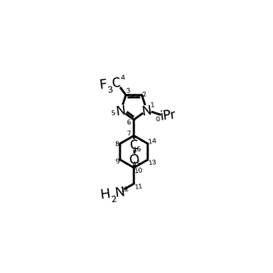 CC(C)n1cc(C(F)(F)F)nc1C12CCC(CN)(CC1)OC2